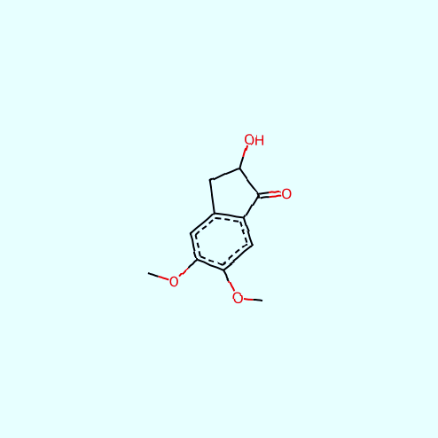 COc1cc2c(cc1OC)C(=O)C(O)C2